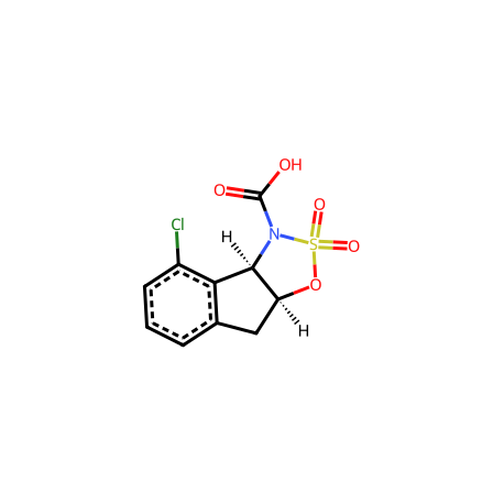 O=C(O)N1[C@@H]2c3c(Cl)cccc3C[C@@H]2OS1(=O)=O